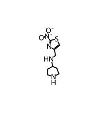 O=[N+]([O-])c1nc(CNC2CCNCC2)cs1